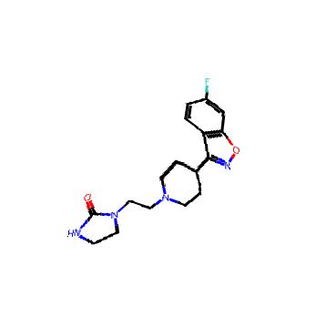 O=C1NCCN1CCN1CCC(c2noc3cc(F)ccc23)CC1